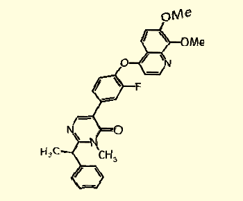 COc1ccc2c(Oc3ccc(-c4cnc([C@H](C)c5ccccc5)n(C)c4=O)cc3F)ccnc2c1OC